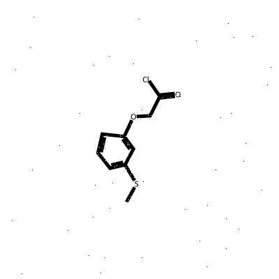 CSc1cccc(OCC(=O)Cl)c1